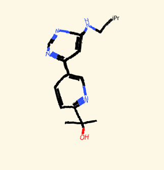 CC(C)CNc1cc(-c2ccc(C(C)(C)O)nc2)ncn1